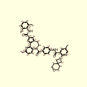 Cc1cnc(N2CC3(CCOCC3)C2)c(C(=O)Nc2ccc(C(=O)N3CCc4cc(C(=O)Nc5c(C)cccc5F)sc4-c4nc(C)ccc43)cc2)c1